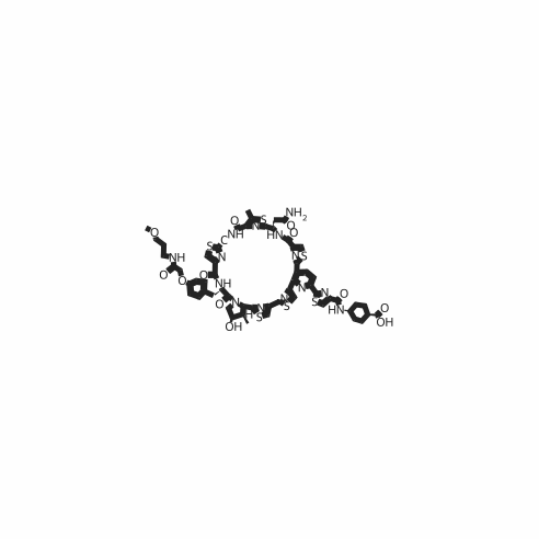 COCCCNC(=O)COc1ccc(C[C@@H]2NC(=O)c3csc(n3)CNC(=O)c3nc(sc3C)[C@H](CC(N)=O)NC(=O)c3csc(n3)-c3ccc(-c4nc(C(=O)N[C@H]5CC[C@H](C(=O)O)CC5)cs4)nc3-c3csc(n3)-c3csc(n3)[C@@H]3[C@@H](C)[C@@H](O)CN3C2=O)cc1